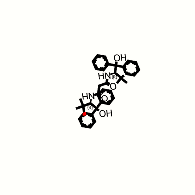 CC(C)(C)[C@@H](NC(=O)CC(=O)N[C@H](C(C)(C)C)C(O)(c1ccccc1)c1ccccc1)C(O)(c1ccccc1)c1ccccc1